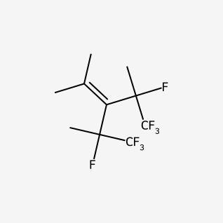 CC(C)=C(C(C)(F)C(F)(F)F)C(C)(F)C(F)(F)F